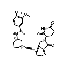 COc1cc(C(=O)N[C@@H]2CCC[C@H](C#Cc3cccc4c3CN(C3CCC(=O)NC3=O)C4=O)C2)ccc1N